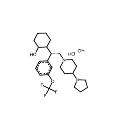 Cl.Cl.OC1CCCCC1[C@H](CN1CCC(N2CCCC2)CC1)c1cccc(OC(F)(F)F)c1